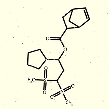 O=C(OC(CC(S(=O)(=O)C(F)(F)F)S(=O)(=O)C(F)(F)F)C1CCCC1)C1CC2C=CC1C2